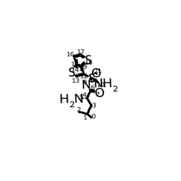 CC(C)C[C@H](N)C(=O)N=S(N)(=O)c1csc2ccsc12